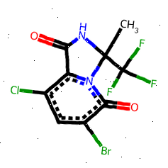 CC1(C(F)(F)F)NC(=O)c2c(Cl)cc(Br)c(=O)n21